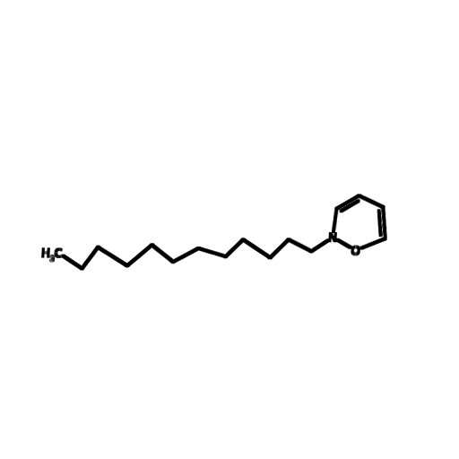 CCCCCCCCCCCCN1C=CC=CO1